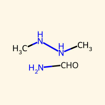 CNNC.NC=O